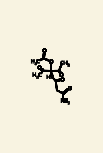 CC(=O)OC(NC(=O)CC(N)=O)(C(C)=O)C(C)=O